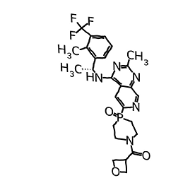 Cc1nc(N[C@H](C)c2cccc(C(F)(F)F)c2C)c2cc(P3(=O)CCN(C(=O)C4COC4)CC3)ncc2n1